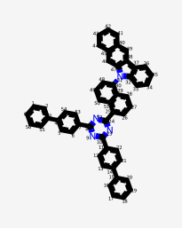 c1ccc(-c2ccc(-c3nc(-c4ccc(-c5ccccc5)cc4)nc(-c4cccc5c(-n6c7ccccc7c7cc8ccccc8cc76)cccc45)n3)cc2)cc1